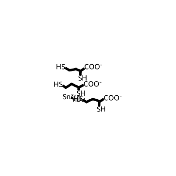 CCC[CH2][Sn+3].O=C([O-])C(S)CCS.O=C([O-])C(S)CCS.O=C([O-])C(S)CCS